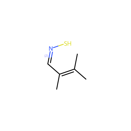 CC(C)=C(C)/C=N\S